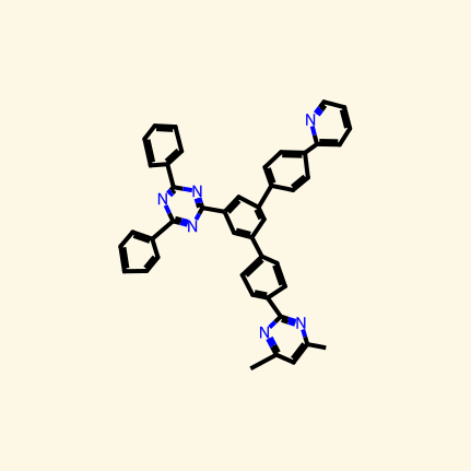 Cc1cc(C)nc(-c2ccc(-c3cc(-c4ccc(-c5ccccn5)cc4)cc(-c4nc(-c5ccccc5)nc(-c5ccccc5)n4)c3)cc2)n1